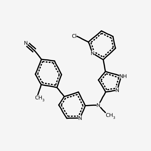 Cc1cc(C#N)ccc1-c1ccnc(N(C)c2cc(-c3cccc(Cl)n3)[nH]n2)c1